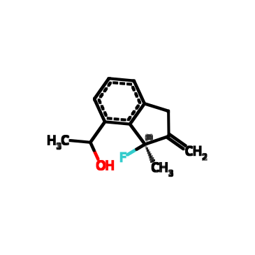 C=C1Cc2cccc(C(C)O)c2[C@]1(C)F